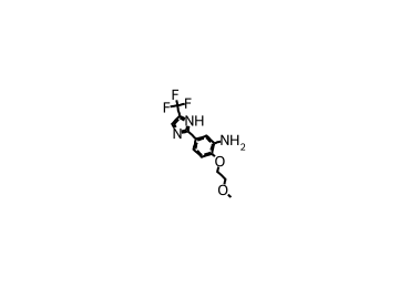 COCCOc1ccc(-c2ncc(C(F)(F)F)[nH]2)cc1N